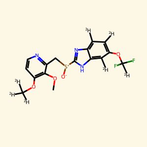 [2H]c1c(OC([2H])(F)F)c([2H])c2[nH]c([S+]([O-])Cc3nccc(OC([2H])([2H])[2H])c3OC)nc2c1[2H]